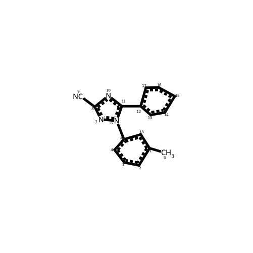 Cc1cccc(-n2nc(C#N)nc2-c2ccccc2)c1